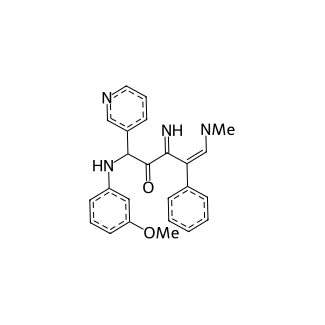 CN/C=C(\C(=N)C(=O)C(Nc1cccc(OC)c1)c1cccnc1)c1ccccc1